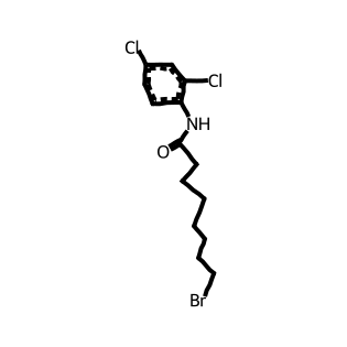 O=C(CCCCCCCBr)Nc1ccc(Cl)cc1Cl